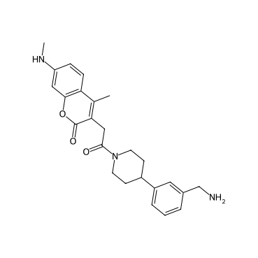 CNc1ccc2c(C)c(CC(=O)N3CCC(c4cccc(CN)c4)CC3)c(=O)oc2c1